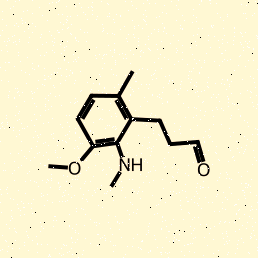 CNc1c(OC)ccc(C)c1CCC=O